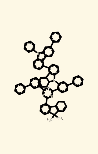 CC1(C)C2=C(CCC=C2)c2c(-c3nc(-c4cccc(-c5ccccc5)c4)nc(-c4ccc(-c5ccccc5)cc4N4c5cccc(-c6cccc7c6c6ccc(-c8ccccc8)cc6n7-c6ccccc6)c5C5=CC=CCC54)n3)cccc21